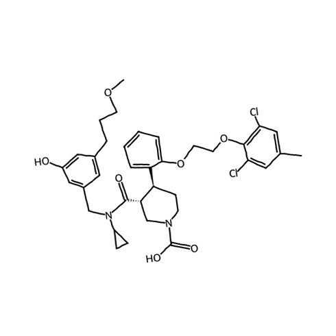 COCCCc1cc(O)cc(CN(C(=O)[C@H]2CN(C(=O)O)CC[C@@H]2c2ccccc2OCCOc2c(Cl)cc(C)cc2Cl)C2CC2)c1